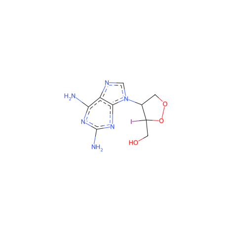 Nc1nc(N)c2ncn(C3COOC3(I)CO)c2n1